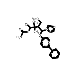 COCC(C(Oc1ccc(-c2ccccc2)cc1)n1cncn1)C(C)(C)C(Cl)OC(N)=O